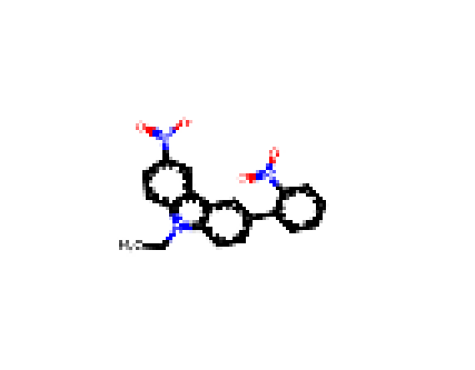 CCn1c2ccc(-c3cc[c]cc3[N+](=O)[O-])cc2c2cc([N+](=O)[O-])ccc21